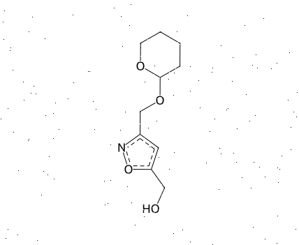 OCc1cc(COC2CCCCO2)no1